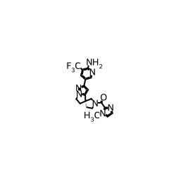 Cn1ccnc1C(=O)N1CC[C@@]2(CCn3nc(-c4cnc(N)c(C(F)(F)F)c4)cc32)C1